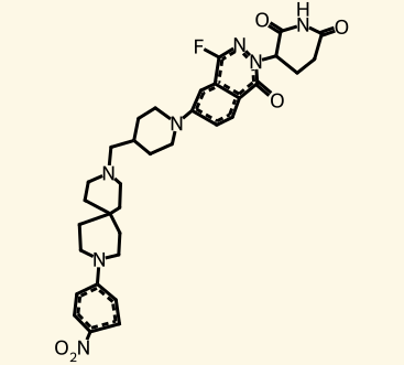 O=C1CCC(n2nc(F)c3cc(N4CCC(CN5CCC6(CC5)CCN(c5ccc([N+](=O)[O-])cc5)CC6)CC4)ccc3c2=O)C(=O)N1